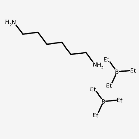 CCB(CC)CC.CCB(CC)CC.NCCCCCCN